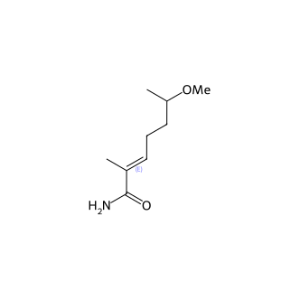 COC(C)CC/C=C(\C)C(N)=O